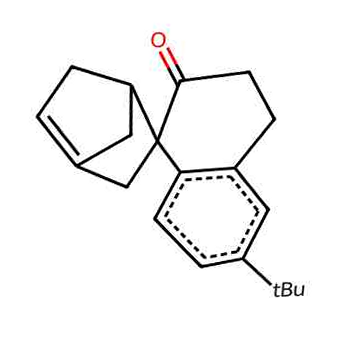 CC(C)(C)c1ccc2c(c1)CCC(=O)C21CC2=CCC1C2